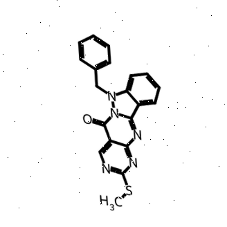 CSc1ncc2c(=O)n3c(nc2n1)c1ccccc1n3Cc1ccccc1